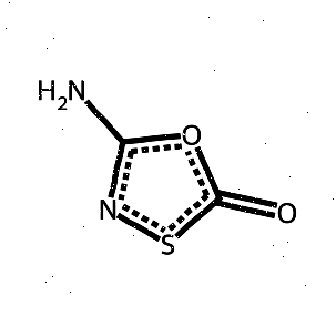 Nc1nsc(=O)o1